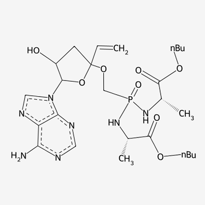 C=CC1(OCP(=O)(N[C@@H](C)C(=O)OCCCC)N[C@@H](C)C(=O)OCCCC)CC(O)C(n2cnc3c(N)ncnc32)O1